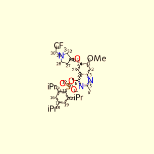 COc1cc2nc(C)nc(OS(=O)(=O)c3c(C(C)C)cc(C(C)C)cc3C(C)C)c2cc1O[C@H]1CCN(CC(F)(F)F)C1